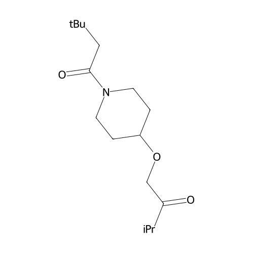 CC(C)C(=O)COC1CCN(C(=O)CC(C)(C)C)CC1